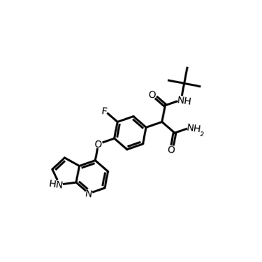 CC(C)(C)NC(=O)C(C(N)=O)c1ccc(Oc2ccnc3[nH]ccc23)c(F)c1